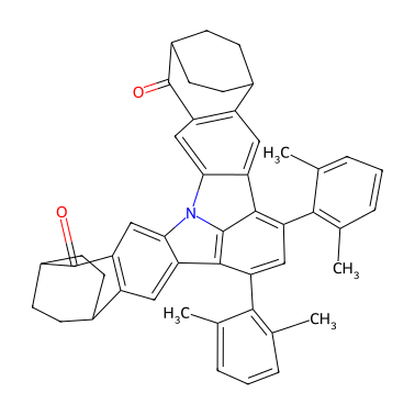 Cc1cccc(C)c1-c1cc(-c2c(C)cccc2C)c2c3cc4c(cc3n3c5cc6c(cc5c1c23)C1CCC(CC1)C6=O)C(=O)C1CCC4CC1